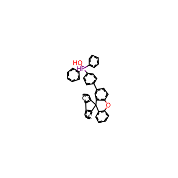 O[PH](c1ccccc1)(c1ccccc1)c1ccc(-c2ccc3c(c2)C2(c4ccccc4O3)c3ccccc3-c3ccccc32)cc1